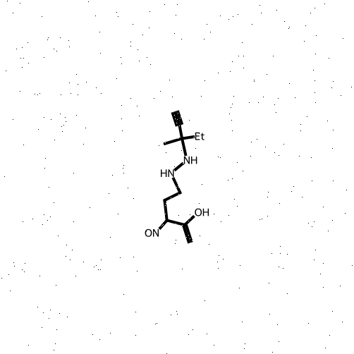 C#CC(C)(CC)NNCCC(N=O)C(=C)O